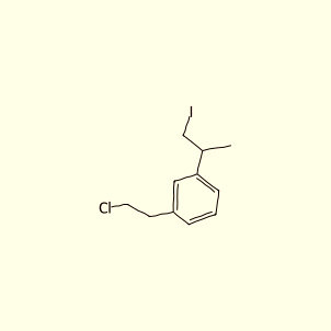 CC(CI)c1cccc(CCCl)c1